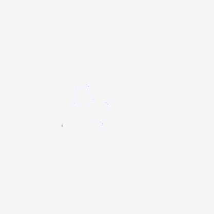 CC(C)CC(Nc1cc2ccccc2cn1)c1nn[nH]n1